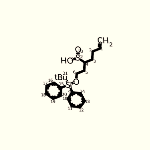 C=CCCC(CCO[Si](c1ccccc1)(c1ccccc1)C(C)(C)C)S(=O)O